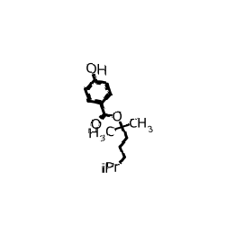 CC(C)CCCC(C)(C)OC(=O)c1ccc(O)cc1